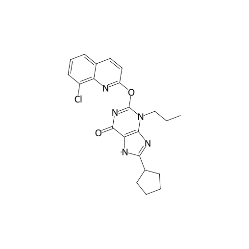 CCCn1c(Oc2ccc3cccc(Cl)c3n2)nc(=O)c2c1N=C(C1CCCC1)[N]2